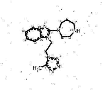 Cc1nnnn1CCn1c(N2CCCNCC2)nc2ccccc21